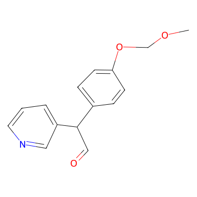 COCOc1ccc(C(C=O)c2cccnc2)cc1